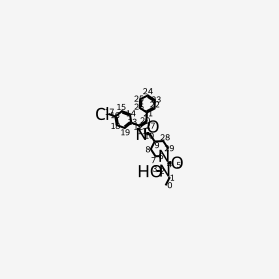 CCN(O)C(=O)N1CCC(c2nc(-c3ccc(Cl)cc3)c(-c3ccccc3)o2)CC1